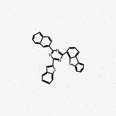 c1ccc2cc(-c3nc(-c4cc5ccccc5s4)nc(-c4cccc5c4sc4ccccc45)n3)ccc2c1